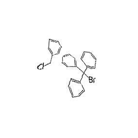 BrC(c1ccccc1)(c1ccccc1)c1ccccc1.ClCc1ccccc1